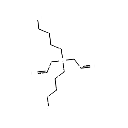 C=C[CH2][Ge]([CH2]C=C)([CH2]CCCC)[CH2]CCCC